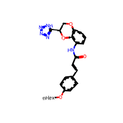 CCCCCCOc1ccc(C=CC(=O)Nc2cccc3c2OC(c2nnn[nH]2)CO3)cc1